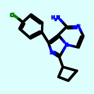 Nc1nccn2c(C3CCC3)nc(-c3ccc(Cl)cc3)c12